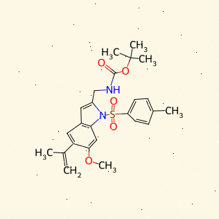 C=C(C)c1cc2cc(CNC(=O)OC(C)(C)C)n(S(=O)(=O)c3ccc(C)cc3)c2cc1OC